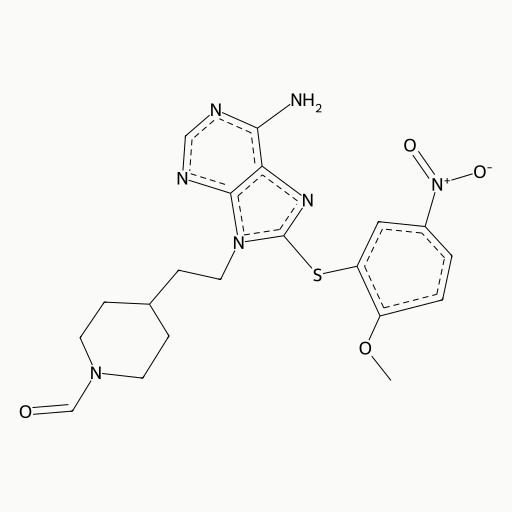 COc1ccc([N+](=O)[O-])cc1Sc1nc2c(N)ncnc2n1CCC1CCN(C=O)CC1